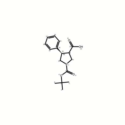 CC(C)(C)OC(=O)N1CC(C(=O)O)[C@H](c2ccccc2)C1